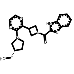 O=C(c1nc2ccccc2[nH]1)N1CC(c2nccnc2N2CC[C@H](CO)C2)C1